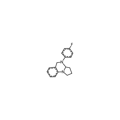 Fc1ccc(N2Cc3ccccc3N3CCCC23)cc1